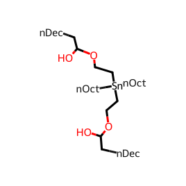 CCCCCCCCCCCC(O)OC[CH2][Sn]([CH2]CCCCCCC)([CH2]CCCCCCC)[CH2]COC(O)CCCCCCCCCCC